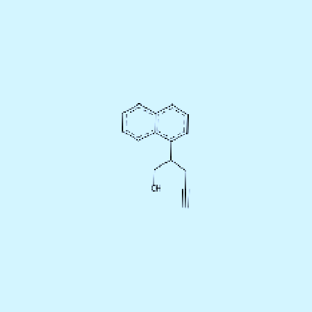 C#CCC(CO)c1cccc2ccccc12